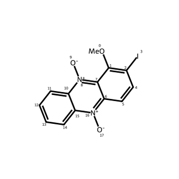 COc1c(I)ccc2c1[n+]([O-])c1ccccc1[n+]2[O-]